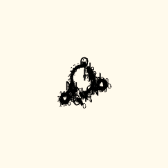 CC(=O)[C@@H]1C[C@H]2CN1c1nc(nc3c1oc1ccccc13)CCCCCC(=O)N1CC[C@@H]([C@@H](C)C1)n1c(nc3ccccc31)O2